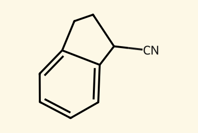 N#CC1CCc2ccccc21